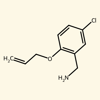 C=CCOc1ccc(Cl)cc1CN